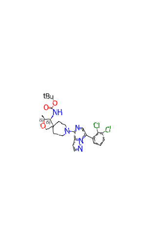 C[C@@H]1OCC2(CCN(c3ncc(-c4cccc(Cl)c4Cl)n4nccc34)CC2)[C@@H]1NC(=O)OC(C)(C)C